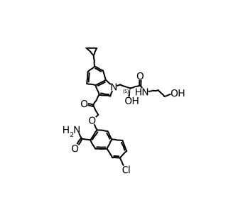 NC(=O)c1cc2cc(Cl)ccc2cc1OCC(=O)c1cn(C[C@H](O)C(=O)NCCO)c2cc(C3CC3)ccc12